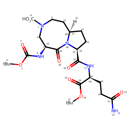 CC(C)(C)OC(=O)N[C@H]1CN(C(=O)O)CC[C@H]2CC[C@@H](C(=O)N[C@@H](CCC(N)=O)C(=O)OC(C)(C)C)N2C1=O